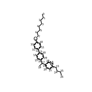 CCCCCCCCOc1ccc(-c2ccc(C(C)c3ccc(CCCC)nc3)cc2)cc1